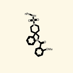 CCCNS(=O)(=O)N1CCC(CNC(=O)c2ccccc2OC)(c2ccccc2)CC1